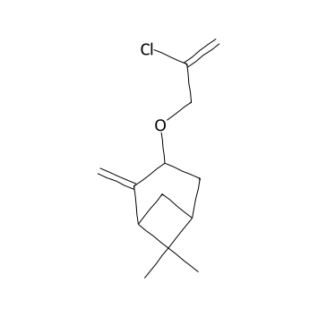 C=C(Cl)COC1CC2CC(C1=C)C2(C)C